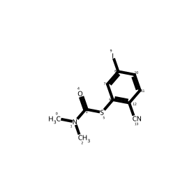 CN(C)C(=O)Sc1cc(I)ccc1C#N